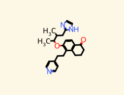 CC(Cc1ncc[nH]1)C(C)Oc1ccc2c(c1CCc1ccncc1)CCCC2=O